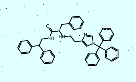 O=C(NCC(c1ccccc1)c1ccccc1)[C@@H](Cc1ccccc1)NCCc1cn(C(c2ccccc2)(c2ccccc2)c2ccccc2)cn1